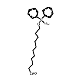 CC(C)(C)[Si](OCCCCCCCCCCC=O)(c1ccccc1)c1ccccc1